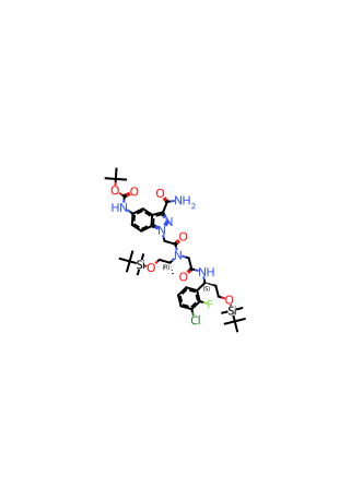 C[C@H](CO[Si](C)(C)C(C)(C)C)N(CC(=O)N[C@@H](CCO[Si](C)(C)C(C)(C)C)c1cccc(Cl)c1F)C(=O)Cn1nc(C(N)=O)c2cc(NC(=O)OC(C)(C)C)ccc21